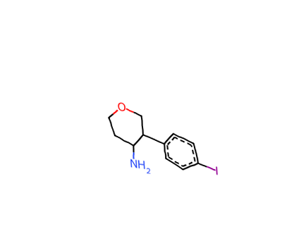 NC1CCOCC1c1ccc(I)cc1